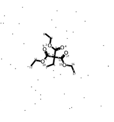 CCOC(=O)C(CC)(C(=O)OCC)C(=O)OCC